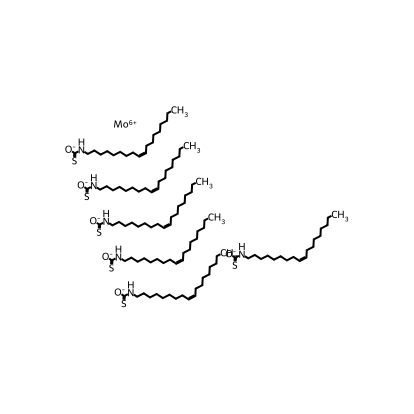 CCCCCCCC/C=C\CCCCCCCCNC([O-])=S.CCCCCCCC/C=C\CCCCCCCCNC([O-])=S.CCCCCCCC/C=C\CCCCCCCCNC([O-])=S.CCCCCCCC/C=C\CCCCCCCCNC([O-])=S.CCCCCCCC/C=C\CCCCCCCCNC([O-])=S.CCCCCCCC/C=C\CCCCCCCCNC([O-])=S.[Mo+6]